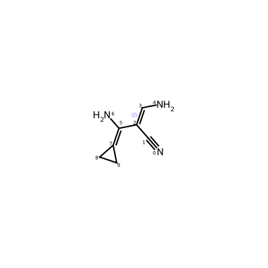 N#C/C(=C\N)C(N)=C1CC1